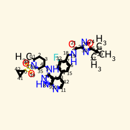 C[C@H]1CC[C@@H](Nc2n[nH]c3nccc(-c4ccc(CNC(=O)c5noc(C(C)(C)C)n5)c(F)c4)c23)CN1S(=O)(=O)C1CC1